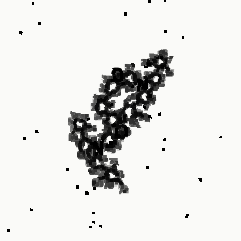 Cc1cc(C)c(-c2ccc3c4ccc(-c5c(C)cccc5C)cc4n(-c4ccc5oc6ccc(-c7cccc(-c8ccc9oc%10ccc(-n%11c%12cc(-c%13c(C)cccc%13C)ccc%12c%12ccc(-c%13c(C)cc(C)cc%13C)cc%12%11)cc%10c9c8)c7)cc6c5c4)c3c2)c(C)c1